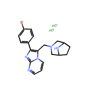 Brc1ccc(-c2nc3ncccn3c2CN2CC3CCC(C2)N3)cc1.Cl.Cl